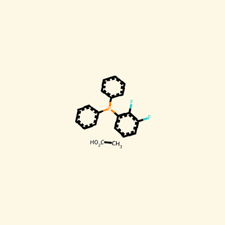 CC(=O)O.Fc1cccc(P(c2ccccc2)c2ccccc2)c1F